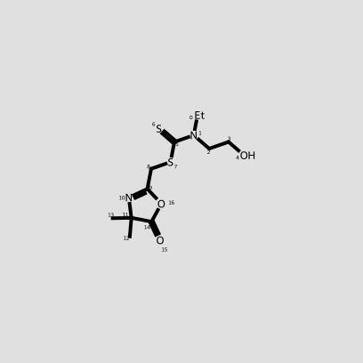 CCN(CCO)C(=S)SCC1=NC(C)(C)C(=O)O1